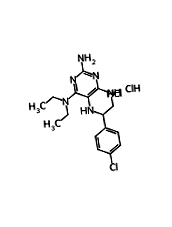 CCN(CC)c1nc(N)nc2c1NC(c1ccc(Cl)cc1)CN2.Cl.Cl